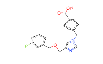 O=C(O)c1ccc(Cn2cnc(COCc3cccc(F)c3)c2)cc1